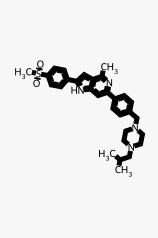 Cc1nc(-c2ccc(CN3CCN(CC(C)C)CC3)cc2)cc2[nH]c(-c3ccc(S(C)(=O)=O)cc3)cc12